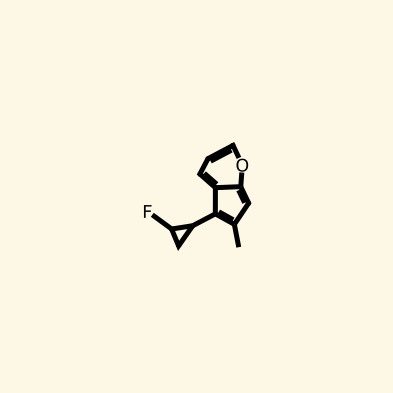 Cc1cc2occcc-2c1C1CC1F